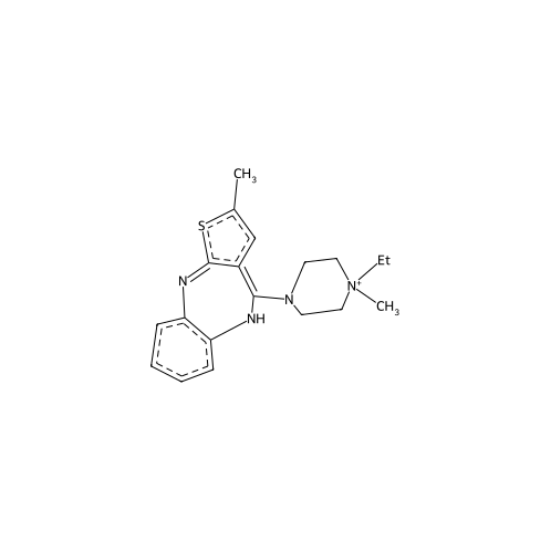 CC[N+]1(C)CCN(C2=c3cc(C)sc3=Nc3ccccc3N2)CC1